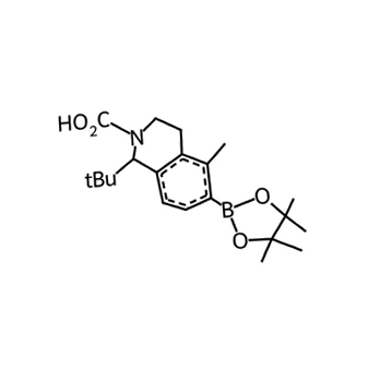 Cc1c(B2OC(C)(C)C(C)(C)O2)ccc2c1CCN(C(=O)O)C2C(C)(C)C